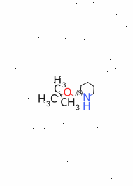 CC(C)(C)OC[C@@H]1CCCCN1